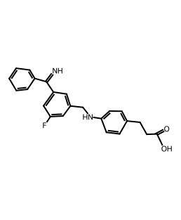 N=C(c1ccccc1)c1cc(F)cc(CNc2ccc(CCC(=O)O)cc2)c1